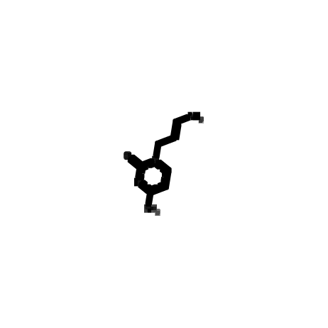 NC=CCn1ccc(N)nc1=O